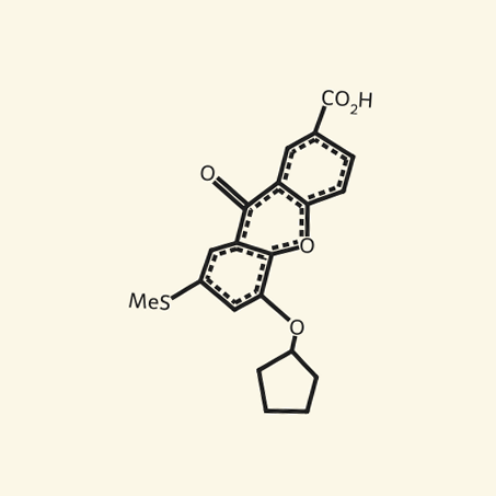 CSc1cc(OC2CCCC2)c2oc3ccc(C(=O)O)cc3c(=O)c2c1